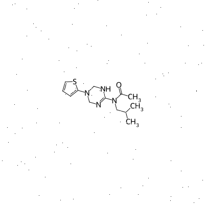 CC(=O)N(CC(C)C)C1=NCN(c2cccs2)CN1